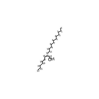 CCCCCCCCCCCCC[C@H](CO)CCCCCCC